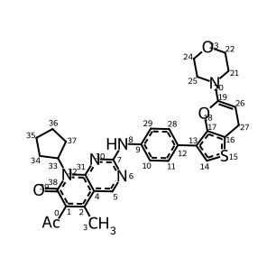 CC(=O)c1c(C)c2cnc(Nc3ccc(-c4csc5c4OC(N4CCOCC4)=CC5)cc3)nc2n(C2CCCC2)c1=O